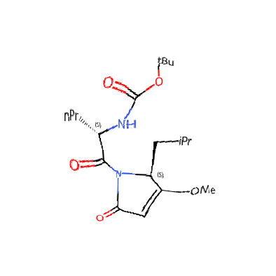 CCC[C@H](NC(=O)OC(C)(C)C)C(=O)N1C(=O)C=C(OC)[C@@H]1CC(C)C